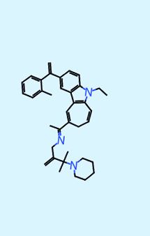 C=C(c1ccc2c(c1)c1c(n2CC)C=CCC(/C(C)=N/CC(=C)C(C)(C)N2CCCCC2)=C1)c1ccccc1C